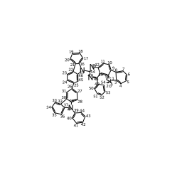 C[Si]1(C)c2ccccc2-c2ccc3nc(-n4c5ccccc5c5ccc(-c6ccc7c(c6)c6ccccc6n7-c6ccccc6)cc54)nc(-c4ccccc4)c3c21